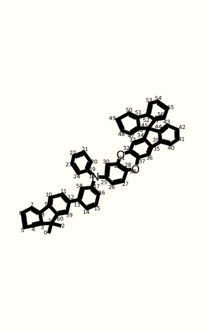 CC1(C)c2ccccc2-c2ccc(-c3cccc(N(c4ccccc4)c4ccc5c(c4)Oc4cc6c(cc4O5)-c4ccccc4C64c5ccccc5-c5ccccc54)c3)cc21